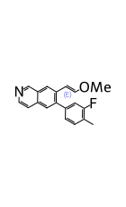 CO/C=C/c1cc2cnccc2cc1-c1ccc(C)c(F)c1